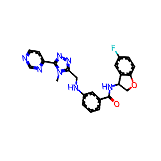 Cn1c(CNc2cccc(C(=O)NC3COc4ccc(F)cc43)c2)nnc1-c1ccncn1